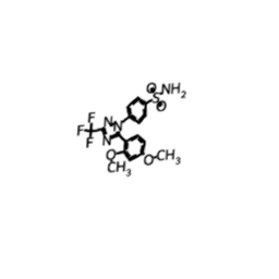 COc1ccc(-c2nc(C(F)(F)F)nn2-c2ccc(S(N)(=O)=O)cc2)c(OC)c1